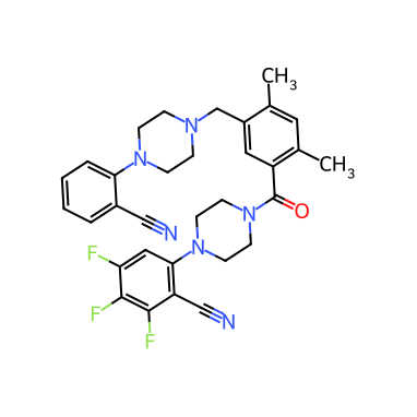 Cc1cc(C)c(C(=O)N2CCN(c3cc(F)c(F)c(F)c3C#N)CC2)cc1CN1CCN(c2ccccc2C#N)CC1